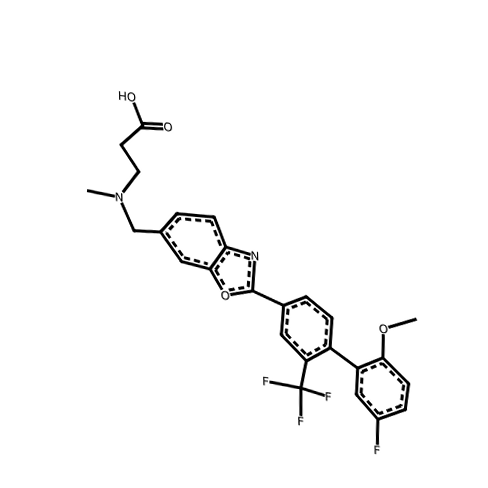 COc1ccc(F)cc1-c1ccc(-c2nc3ccc(CN(C)CCC(=O)O)cc3o2)cc1C(F)(F)F